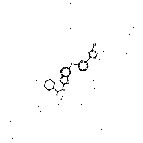 CCn1cc(-c2cc(Oc3ccc4nc(N[C@@H](C)C5CCCCC5)sc4c3)ccn2)cn1